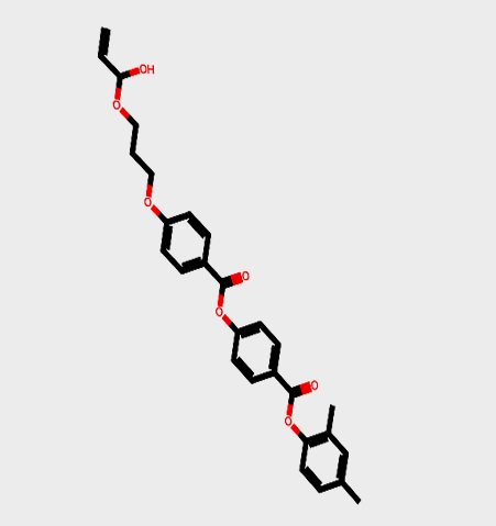 C=CC(O)OCCCOc1ccc(C(=O)Oc2ccc(C(=O)Oc3ccc(C)cc3C)cc2)cc1